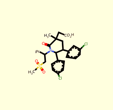 CC(C)C(CS(C)(=O)=O)N1C(=O)C(C)(CC(=O)O)CC(c2cccc(Cl)c2)C1c1ccc(Cl)cc1